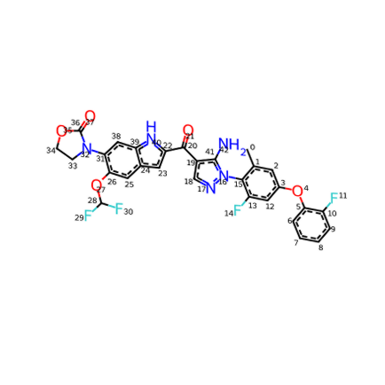 Cc1cc(Oc2ccccc2F)cc(F)c1-n1ncc(C(=O)c2cc3cc(OC(F)F)c(N4CCOC4=O)cc3[nH]2)c1N